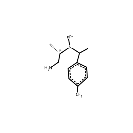 CCCN(C(C)c1ccc(C(F)(F)F)cc1)[C@@H](C)CN